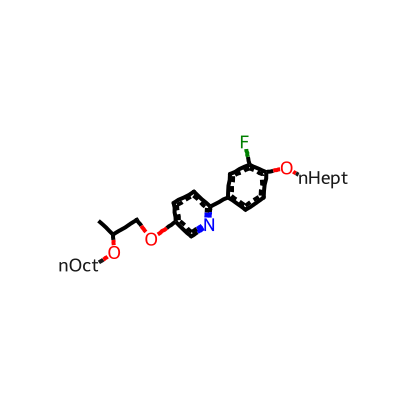 CCCCCCCCOC(C)COc1ccc(-c2ccc(OCCCCCCC)c(F)c2)nc1